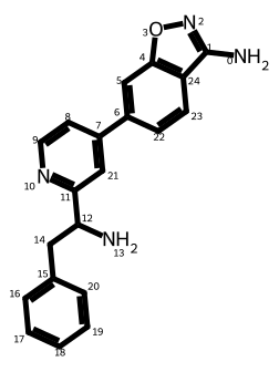 Nc1noc2cc(-c3ccnc(C(N)Cc4ccccc4)c3)ccc12